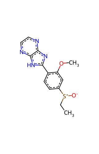 CC[S+]([O-])c1ccc(-c2nc3nccnc3[nH]2)c(OC)c1